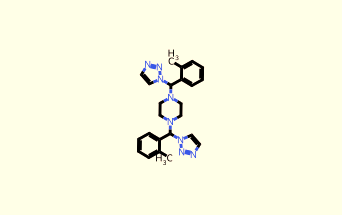 Cc1ccccc1C(N1CCN(C(c2ccccc2C)n2ccnn2)CC1)n1ccnn1